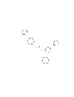 Nc1cncn1-c1ccc(NC(=O)Nc2cc(-c3ccco3)nn2-c2ccc(F)cc2)cc1